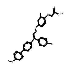 COc1ccc(-c2ccc(/C(=C/CSc3ccc(OCC(=O)O)c(C)c3)c3ccc(Br)cc3)cc2)cc1